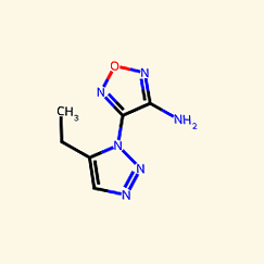 CCc1cnnn1-c1nonc1N